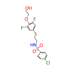 O=S(=O)(NCCSc1cc(F)c(OCCO)c(F)c1)c1ccc(Cl)cc1